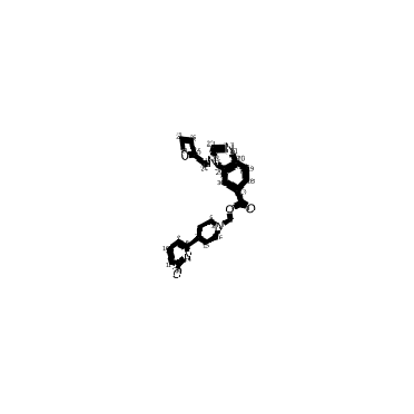 O=C(OCN1CCC(c2cccc(Cl)n2)CC1)c1ccc2ncn(CC3CCO3)c2c1